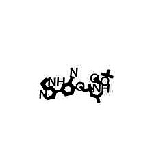 CC(C)CC(C)(COc1ccc(-c2ccnc3cc[nH]c23)cc1C#N)NC(=O)OC(C)(C)C